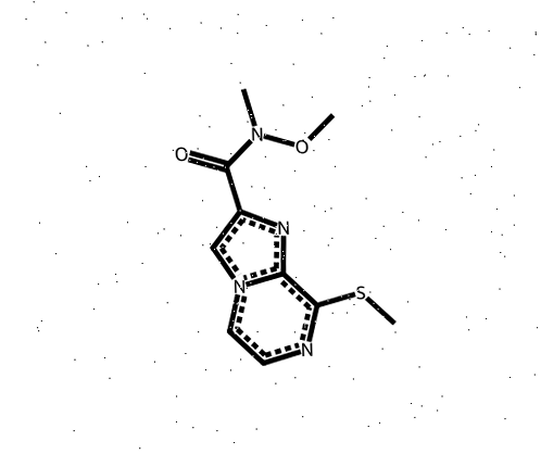 CON(C)C(=O)c1cn2ccnc(SC)c2n1